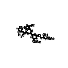 CNCC(O)COc1cc(OC)cc(-c2cc(N(C)C3CCOC3)n3ncc(C(C)C)c3n2)c1